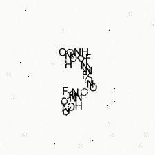 O=C1CCC(Nc2ccc(N3CCN(CC4(F)CCN(C(=O)[C@H]5CC[C@H](Nc6ncc(F)c(-c7cccc(-n8ccccc8=O)c7)n6)CC5)CC4)CC3)c(F)c2)C(=O)N1